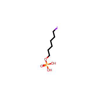 O=P(O)(O)OCCCCCCI